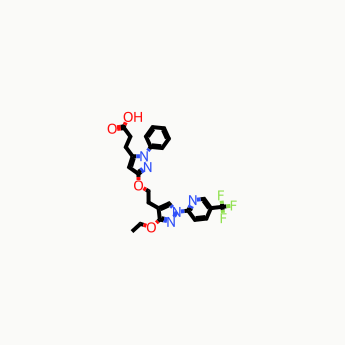 CCOc1nn(-c2ccc(C(F)(F)F)cn2)cc1CCOc1cc(CCC(=O)O)n(-c2ccccc2)n1